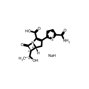 C[C@@H](O)[C@H]1C(=O)N2C(C(=O)O)=C(c3ccc(C(N)=O)s3)C[C@H]12.[NaH]